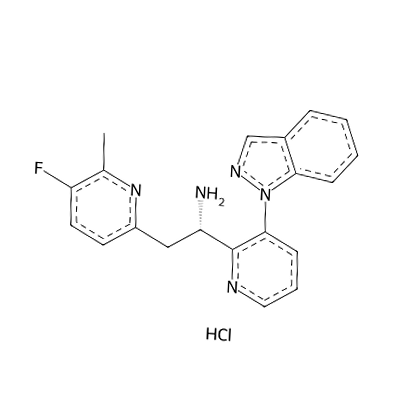 Cc1nc(C[C@H](N)c2ncccc2-n2ncc3ccccc32)ccc1F.Cl